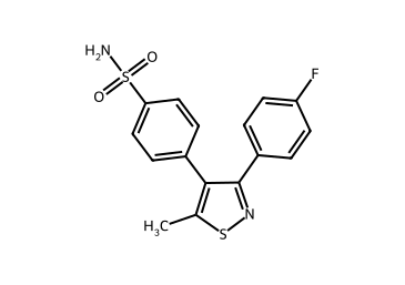 Cc1snc(-c2ccc(F)cc2)c1-c1ccc(S(N)(=O)=O)cc1